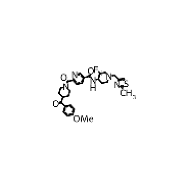 COc1ccc(C(=O)C2CCN(C(=O)c3ccc(C(=O)NC4CCN(Cc5csc(C)n5)C[C@@H]4F)cn3)CC2)cc1